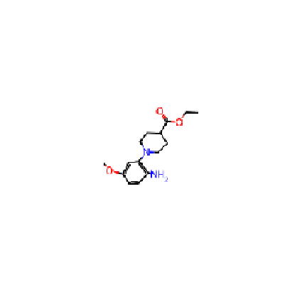 CCOC(=O)C1CCN(c2cc(OC)ccc2N)CC1